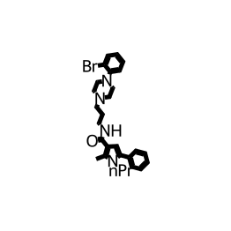 CCCn1c(-c2ccccc2)cc(C(=O)NCCCN2CCN(c3ccccc3Br)CC2)c1C